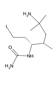 CC(CC(C)(C)N)[C@@H](CCI)NC(N)=O